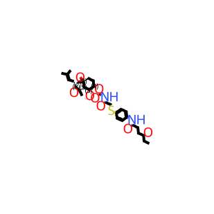 CCC(=O)CCC(=O)Nc1ccc(SCC(=O)NC(=O)O[C@@H]2CC[C@]3(CO3)[C@@H](C3(C)O[C@@H]3CC=C(C)C)[C@@H]2OC)cc1